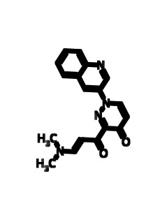 CN(C)C=CC(=O)c1nn(-c2cnc3ccccc3c2)ccc1=O